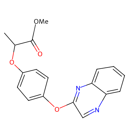 COC(=O)C(C)Oc1ccc(Oc2cnc3ccccc3n2)cc1